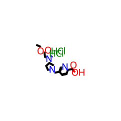 CCOC(=O)CN(C)[C@@H]1CCN(Cc2ccc(C(=O)O)nc2)C1.Cl.Cl